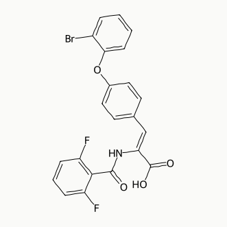 O=C(O)C(=Cc1ccc(Oc2ccccc2Br)cc1)NC(=O)c1c(F)cccc1F